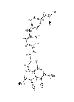 CC(C)(C)OC(=O)N(C(=O)OC(C)(C)C)c1ncc(OCc2cnc(Nc3ccc(OC(F)F)cc3)nc2)cn1